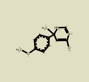 COc1ccc(C2(C)C=C(Cl)N=CN2)cc1